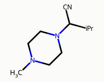 CC(C)C(C#N)N1CCN(C)CC1